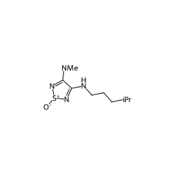 CNc1n[s+]([O-])nc1NCCCC(C)C